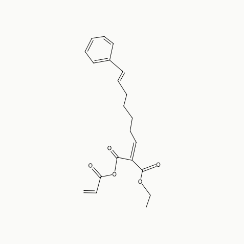 C=CC(=O)OC(=O)C(=CCCCCC=Cc1ccccc1)C(=O)OCC